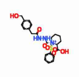 O=C(Cc1ccc(CO)cc1)NNC(=O)[N@+]1(S(=O)(=O)c2ccccc2)CCCCC1C(=O)O